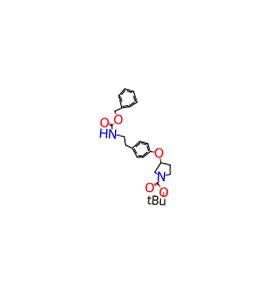 CC(C)(C)OC(=O)N1CCC(Oc2ccc(CCNC(=O)OCc3ccccc3)cc2)C1